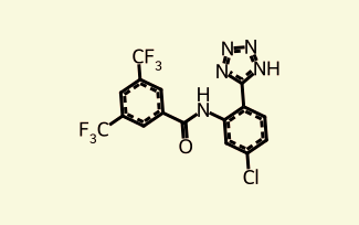 O=C(Nc1cc(Cl)ccc1-c1nnn[nH]1)c1cc(C(F)(F)F)cc(C(F)(F)F)c1